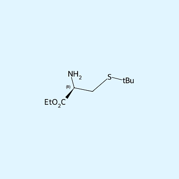 CCOC(=O)[C@@H](N)CSC(C)(C)C